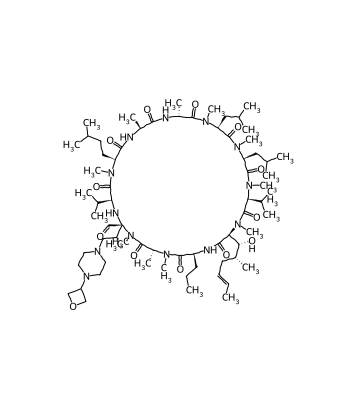 C/C=C/C[C@@H](C)[C@@H](O)[C@H]1C(=O)N[C@@H](CCC)C(=O)N(C)[C@H](C)C(=O)N(C)[C@](C=O)([C@H](C)CN2CCN(C3COC3)CC2)N[C@@H](C(C)C)C(=O)N(C)[C@@H](CCC(C)C)C(=O)N[C@@H](C)C(=O)N[C@H](C)C(=O)N(C)[C@@H](CC(C)C)C(=O)N(C)[C@@H](CC(C)C)C(=O)N(C)[C@@H](C(C)C)C(=O)N1C